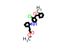 CCOC(=O)C=Cc1ccccc1Nc1ccc(C(=O)c2ccccc2C)c(Cl)c1